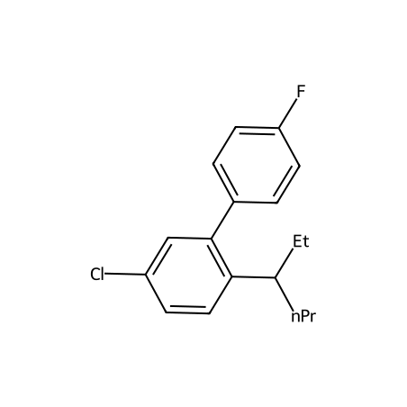 CCCC(CC)c1ccc(Cl)cc1-c1ccc(F)cc1